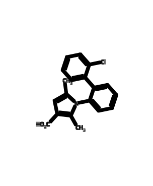 Cc1cc(C(=O)O)c(C)n1-c1ccccc1-c1ccccc1Cl